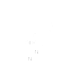 O=CC(=C(c1ccc(Cl)cc1Cl)C1CCCCC1)n1ccnc1